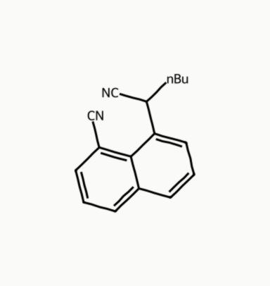 CCCCC(C#N)c1cccc2cccc(C#N)c12